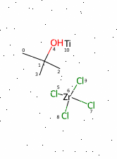 CC(C)(C)O.[Cl][Zr]([Cl])([Cl])[Cl].[Ti]